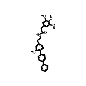 COc1cc(CCNC(=O)Cc2cc(OC)c(OC)c(OC)c2)ccc1-c1ccc(-c2ccccc2)cc1